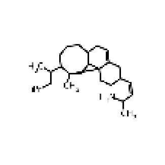 CC(N)/C=C\C1CCC23C(=CCC4CCCC(C(C)CC(C)C)C2(C)CC43)C1